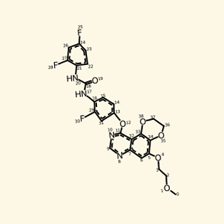 COCCOc1cc2ncnc(Oc3ccc(NC(=O)Nc4ccc(F)cc4F)c(F)c3)c2c2c1OCCO2